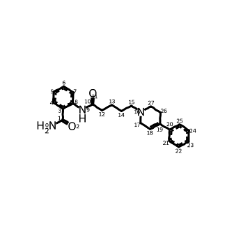 NC(=O)c1ccccc1NC(=O)CCCCN1CC=C(c2ccccc2)CC1